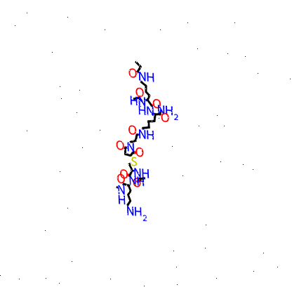 CCC(=O)NCCCCC(NC(C)=O)C(=O)NC(CCCCNC(=O)CCN1C(=O)CC(SCC(NC(C)=O)C(=O)NC(CCCCN)C(=O)NC)C1=O)C(N)=O